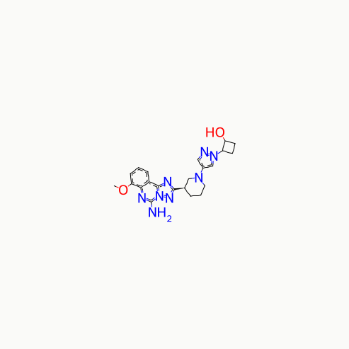 COc1cccc2c1nc(N)n1nc([C@@H]3CCCN(c4cnn(C5CCC5O)c4)C3)nc21